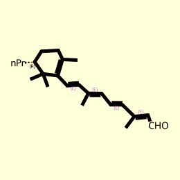 CCC[C@@H]1CCC(C)=C(/C=C/C(C)=C/C=C/C(C)=C/C=O)C1(C)C